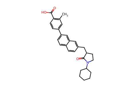 Cc1cc(-c2ccc3ccc(CC4CCN(C5CCCCC5)C4=O)cc3c2)ccc1C(=O)O